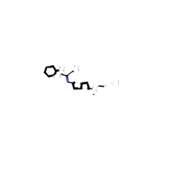 CN(CCO)c1cc2sc(/C=C(\C#N)c3nc4ccccc4o3)cc2s1